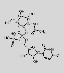 CC(=O)N[C@@H]1[C@H](OP(=O)(OC[C@@H]2O[C@H](n3ccc(=O)[nH]c3=O)C(O)C2O)OP(=O)(O)O)O[C@H](CO)[C@@H](O)[C@@H]1O